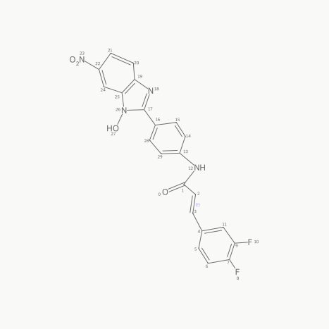 O=C(/C=C/c1ccc(F)c(F)c1)Nc1ccc(-c2nc3ccc([N+](=O)[O-])cc3n2O)cc1